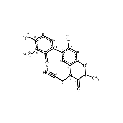 C#CCN1C(=O)C(C)Oc2cc(Cl)c(-c3ccc(C(F)(F)F)n(C)c3=O)cc21